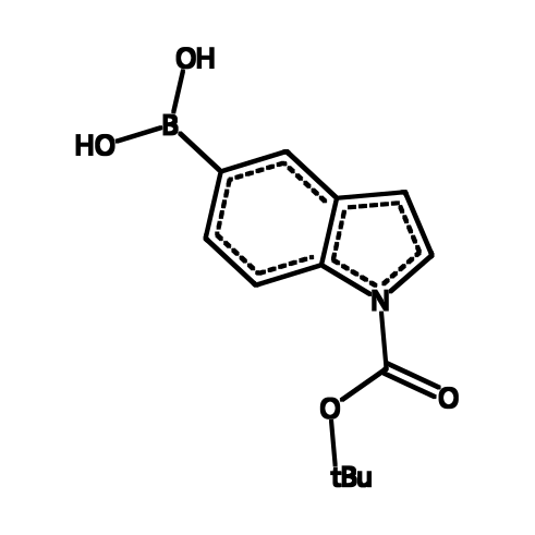 CC(C)(C)OC(=O)n1ccc2cc(B(O)O)ccc21